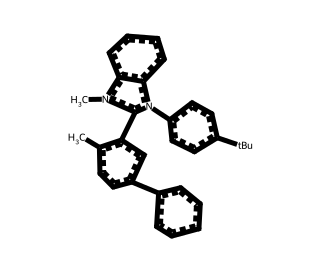 Cc1ccc(-c2ccccc2)cc1-c1n(-c2ccc(C(C)(C)C)cc2)c2ccccc2[n+]1C